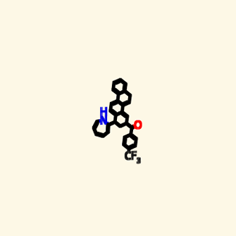 O=C(c1ccc(C(F)(F)F)cc1)C1C=c2c(ccc3c2=CCc2ccccc2-3)C(C2=CC=CC=CN2)C1